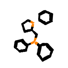 c1ccc(P(C[C@H]2CCC[P@@]2c2ccccc2)c2ccccc2)cc1